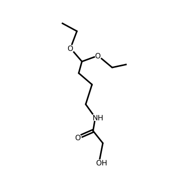 CCOC(CCCNC(=O)CO)OCC